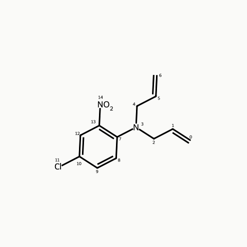 C=CCN(CC=C)c1ccc(Cl)cc1[N+](=O)[O-]